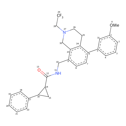 COc1cccc(-c2ccc(CNC(=O)C3CC3c3ccccc3)c3c2CCN(CC(F)(F)F)C3)c1